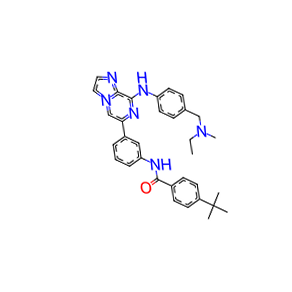 CCN(C)Cc1ccc(Nc2nc(-c3cccc(NC(=O)c4ccc(C(C)(C)C)cc4)c3)cn3ccnc23)cc1